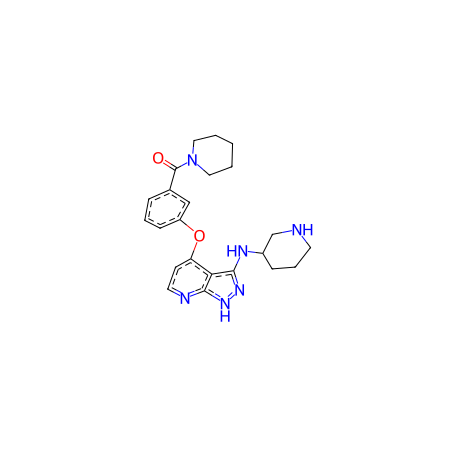 O=C(c1cccc(Oc2ccnc3[nH]nc(NC4CCCNC4)c23)c1)N1CCCCC1